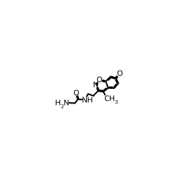 Cc1c2ccc(=O)cc-2onc1CCNC(=O)CN